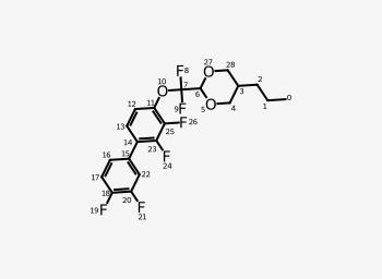 CCCC1COC(C(F)(F)Oc2ccc(-c3ccc(F)c(F)c3)c(F)c2F)OC1